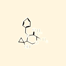 CC1(C)OCC(C2(O)CC2)N(Cc2ccccc2)C1=O